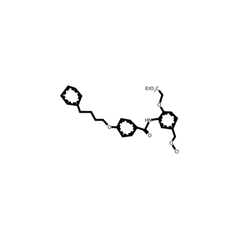 CCOC(=O)COc1ccc(COCl)cc1NC(=O)c1ccc(OCCCCc2ccccc2)cc1